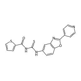 O=C(NC(=S)Nc1ccc2oc(-c3ccncc3)nc2c1)c1cccs1